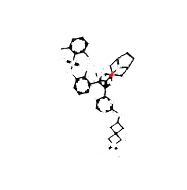 Cc1cccc(F)c1S(=O)(=O)Nc1cccc(-c2nc(N3C4CCC3CN(C(=O)OC(C)(C)C)C4)sc2-c2ccnc(NC3CC4(C3)CS(=O)(=O)C4)n2)c1F